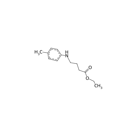 CCOC(=O)CCCNc1ccc(C)cc1